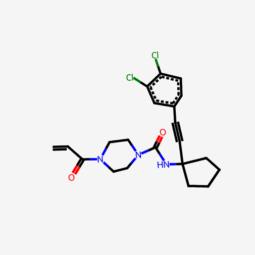 C=CC(=O)N1CCN(C(=O)NC2(C#Cc3ccc(Cl)c(Cl)c3)CCCC2)CC1